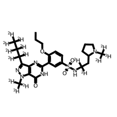 [2H]C([2H])(CC1CCCN1C([2H])([2H])[2H])NS(=O)(=O)c1ccc(OCCC)c(-c2nc3c(C([2H])([2H])C([2H])([2H])C([2H])([2H])[2H])nn(C([2H])([2H])[2H])c3c(=O)[nH]2)c1